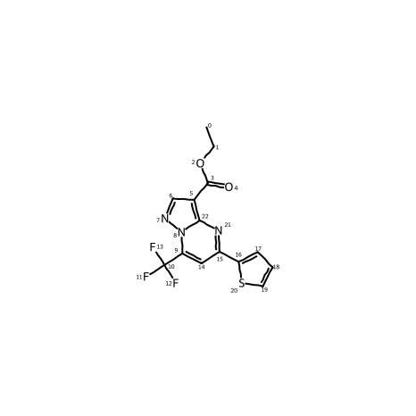 CCOC(=O)c1cnn2c(C(F)(F)F)cc(-c3cccs3)nc12